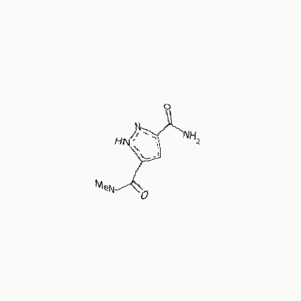 CNC(=O)c1cc(C(N)=O)n[nH]1